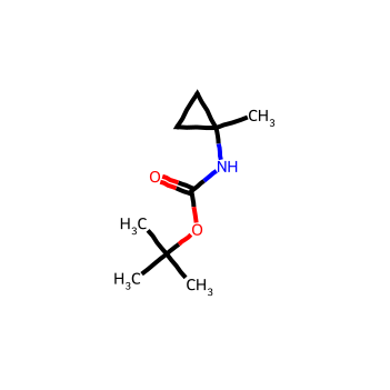 CC1(NC(=O)OC(C)(C)C)CC1